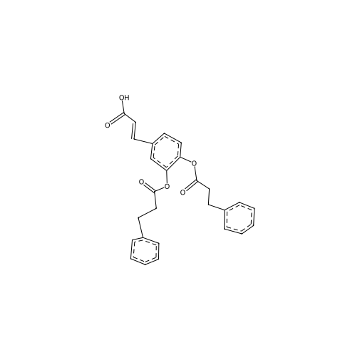 O=C(O)C=Cc1ccc(OC(=O)CCc2ccccc2)c(OC(=O)CCc2ccccc2)c1